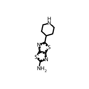 Nc1nc2sc(C3CCNCC3)nc2s1